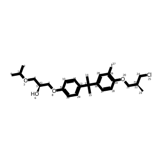 CC(C)OC[C@H](O)COc1ccc(C(C)(C)c2ccc(OC[C@H](C)CCl)c(I)c2)cc1